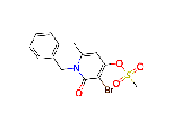 Cc1cc(OS(C)(=O)=O)c(Br)c(=O)n1Cc1ccccc1